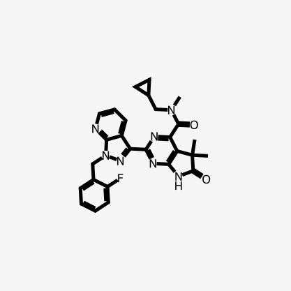 CN(CC1CC1)C(=O)c1nc(-c2nn(Cc3ccccc3F)c3ncccc23)nc2c1C(C)(C)C(=O)N2